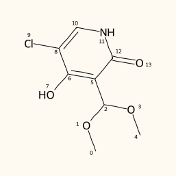 COC(OC)c1c(O)c(Cl)c[nH]c1=O